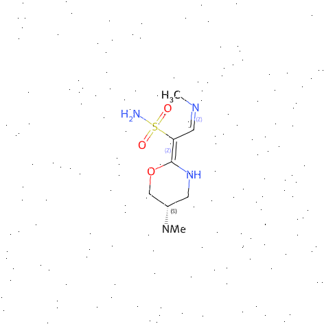 C/N=C\C(=C1/NC[C@H](NC)CO1)S(N)(=O)=O